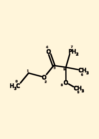 CCOC(=O)C(C)(P)OC